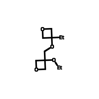 CCOC1(COC2(CC)COC2)COC1